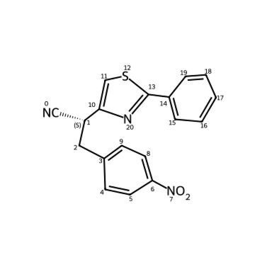 N#C[C@@H](Cc1ccc([N+](=O)[O-])cc1)c1csc(-c2ccccc2)n1